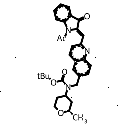 CC(=O)N1/C(=C\c2ccc3cc(CN(C(=O)OC(C)(C)C)C4CCO[C@H](C)C4)ccc3n2)C(=O)c2ccccc21